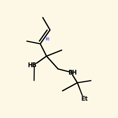 CBC(C)(CBC(C)(C)CC)/C(C)=C/C